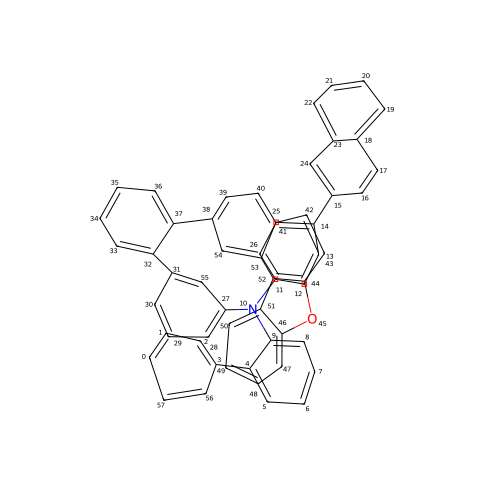 c1ccc(-c2ccccc2N(c2ccc(-c3ccc4ccccc4c3)cc2)c2cccc(-c3ccccc3-c3ccc4ccc5oc6ccccc6c5c4c3)c2)cc1